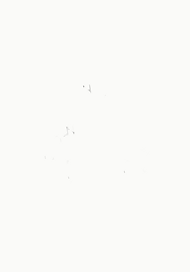 COC(=O)C[N+]1([O-])CC(N)C1CCc1ccco1